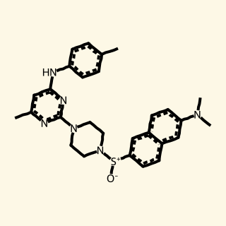 Cc1ccc(Nc2cc(C)nc(N3CCN([S+]([O-])c4ccc5cc(N(C)C)ccc5c4)CC3)n2)cc1